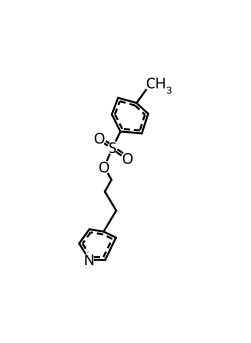 Cc1ccc(S(=O)(=O)OCCCc2ccncc2)cc1